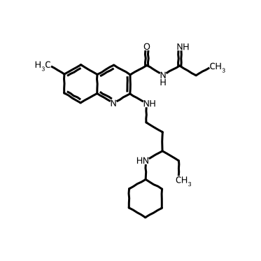 CCC(=N)NC(=O)c1cc2cc(C)ccc2nc1NCCC(CC)NC1CCCCC1